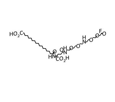 O=C(O)CCCCCCCCCCCCCCCCC(=O)N[C@@H](CCC(=O)NCCOCCOCCNCCOCCOCC(=O)F)C(=O)O